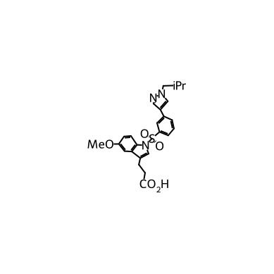 COc1ccc2c(c1)c(CCC(=O)O)cn2S(=O)(=O)c1cccc(-c2cnn(CC(C)C)c2)c1